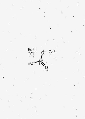 O=[N+]([O-])[O-].[Ca+2].[Cl-].[Eu+3]